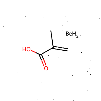 C=C(C)C(=O)O.[BeH2]